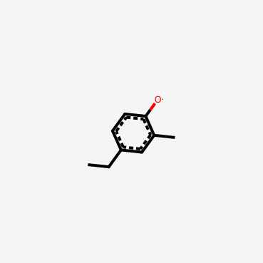 CCc1ccc([O])c(C)c1